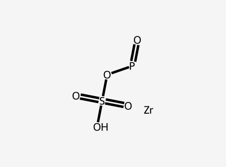 O=POS(=O)(=O)O.[Zr]